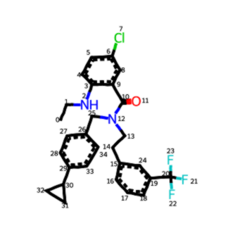 CCNc1ccc(Cl)cc1C(=O)N(CCc1cccc(C(F)(F)F)c1)Cc1ccc(C2CC2)cc1